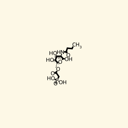 CCCC(=O)N[C@H]1C(O)O[C@H](COC(=O)CP(=O)(O)O)[C@@H](O)[C@@H]1O